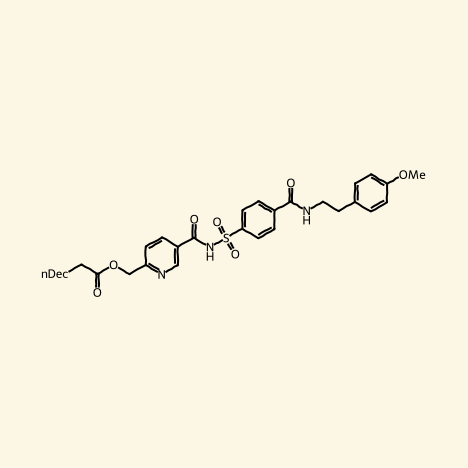 CCCCCCCCCCCC(=O)OCc1ccc(C(=O)NS(=O)(=O)c2ccc(C(=O)NCCc3ccc(OC)cc3)cc2)cn1